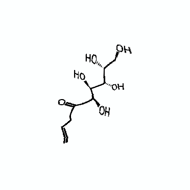 C=CCC(=O)[C@H](O)[C@@H](O)[C@@H](O)[C@H](O)CO